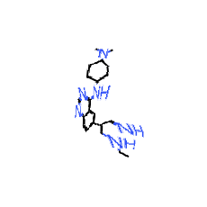 CCN/C=C(\C=N)c1ccc2ncnc(N[C@H]3CC[C@H](N(C)C)CC3)c2c1